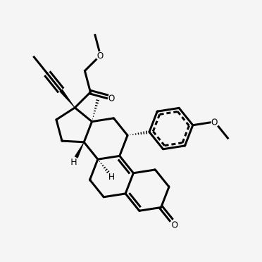 CC#C[C@]1(C(=O)COC)CC[C@H]2[C@@H]3CCC4=CC(=O)CCC4=C3[C@@H](c3ccc(OC)cc3)C[C@@]21C